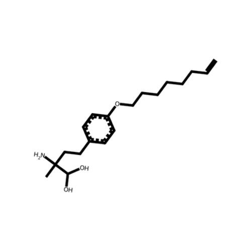 C=CCCCCCCOc1ccc(CCC(C)(N)C(O)O)cc1